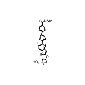 CNC(=O)c1ccc(-c2ccc(-c3nc4cc(O[C@@H]5CO[C@H](CO)C5)[nH]c4cc3F)cc2)cc1